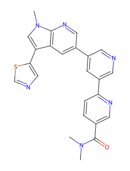 CN(C)C(=O)c1ccc(-c2cncc(-c3cnc4c(c3)c(-c3cncs3)cn4C)c2)nc1